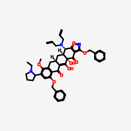 C=CCN(CC=C)[C@@H]1c2onc(OCc3ccccc3)c2C(=O)[C@@]2(O)C(O)=C3C(=O)c4c(OCc5ccccc5)cc(C5CCCN5CC)c(OC)c4C[C@H]3C[C@@H]12